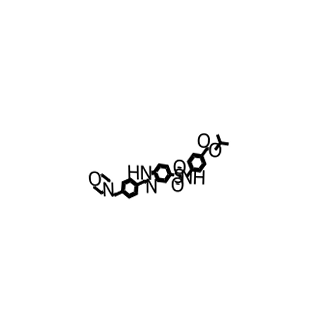 CC(C)OC(=O)c1ccc(NS(=O)(=O)c2ccc3[nH]c(-c4ccc(CN5CCOCC5)cc4)nc3c2)cc1